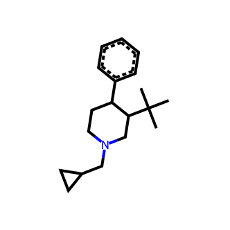 CC(C)(C)C1CN(CC2CC2)CCC1c1ccccc1